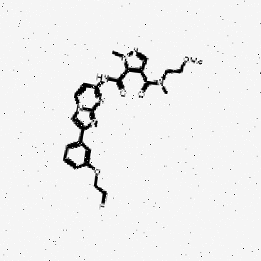 COCCN(C)C(=O)c1cnn(C)c1C(=O)Nc1ccn2cc(-c3cccc(OCCF)c3)nc2n1